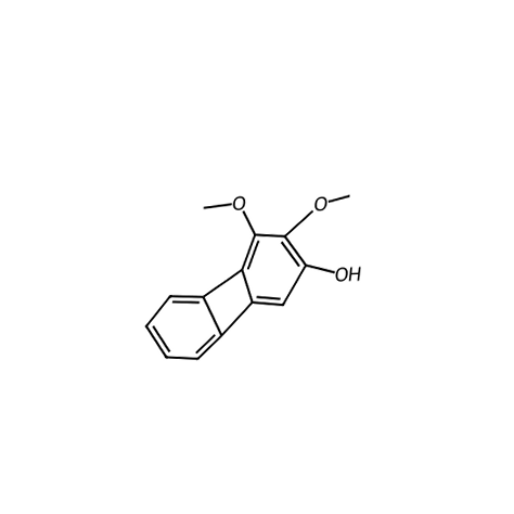 COc1c(O)cc2c(c1OC)-c1ccccc1-2